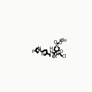 CCN(C(=O)CCl)C1(C(=O)NC(C)c2ccc(-n3cc(F)cn3)nc2)CCN(C(=O)OC(C)(C)C)CC1